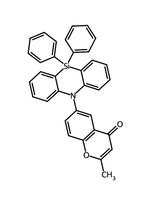 Cc1cc(=O)c2cc(N3c4ccccc4[Si](c4ccccc4)(c4ccccc4)c4ccccc43)ccc2o1